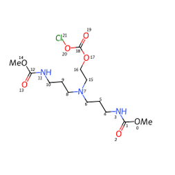 COC(=O)NCCCN(CCCNC(=O)OC)CCOC(=O)OCl